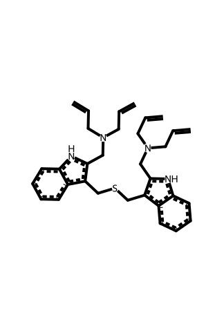 C=CCN(CC=C)Cc1[nH]c2ccccc2c1CSCc1c(CN(CC=C)CC=C)[nH]c2ccccc12